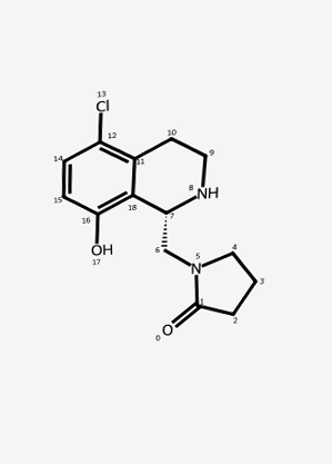 O=C1CCCN1C[C@H]1NCCc2c(Cl)ccc(O)c21